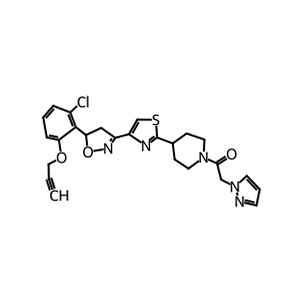 C#CCOc1cccc(Cl)c1C1CC(c2csc(C3CCN(C(=O)Cn4cccn4)CC3)n2)=NO1